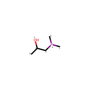 [CH2]C(O)CP(C)C